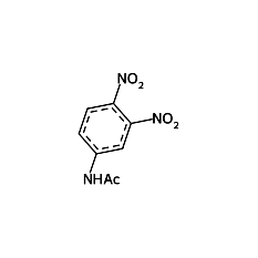 CC(=O)Nc1ccc([N+](=O)[O-])c([N+](=O)[O-])c1